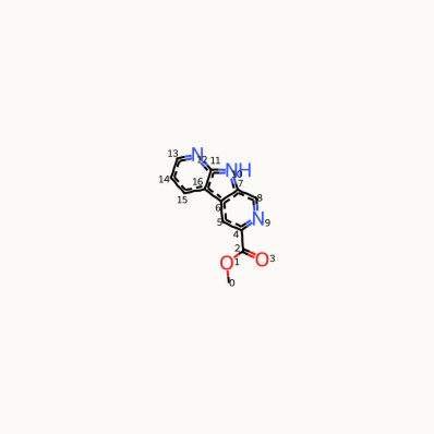 COC(=O)c1cc2c(cn1)[nH]c1ncccc12